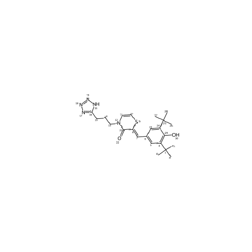 CC(C)(C)c1cc(/C=C2\SC=CN(CCCc3nnn[nH]3)C2=O)cc(C(C)(C)C)c1O